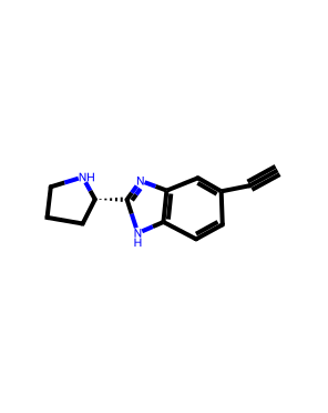 C#Cc1ccc2[nH]c([C@@H]3CCCN3)nc2c1